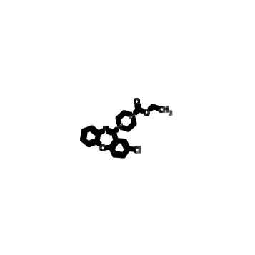 CCOC(=O)N1CCN(C2=Nc3ccccc3Oc3ccc(Cl)cc32)CC1